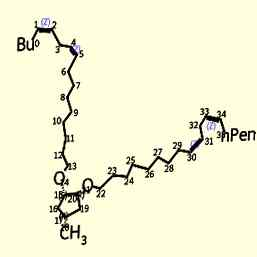 CCCC/C=C\C/C=C\CCCCCCCCO[C@H]1C[C@@H](C)C[C@H]1OCCCCCCCC/C=C\C/C=C\CCCCC